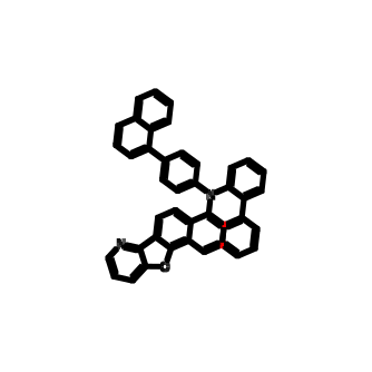 c1ccc(-c2ccccc2N(c2ccc(-c3cccc4ccccc34)cc2)c2cccc3c2ccc2c4ncccc4oc32)cc1